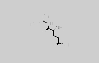 CC[C@H](C)[C@H](NC(=O)[C@@H](N)CCC(N)=O)C(=O)O